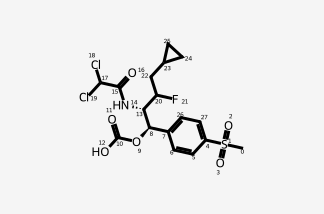 CS(=O)(=O)c1ccc([C@@H](OC(=O)O)[C@H](NC(=O)C(Cl)Cl)C(F)CC2CC2)cc1